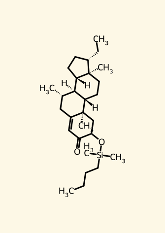 CCCC[Si](C)(C)OC1C[C@@]2(C)C(=CC1=O)C[C@H](C)[C@H]1[C@@H]3CC[C@H](CC)[C@@]3(C)CC[C@@H]12